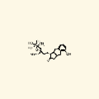 CCCCCC(CC[C@@H]1C(=O)CC2Cc3c(O)cccc3CC21)CC(C)(C)[Si](C)(C)O